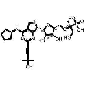 CC(C)(O)C#Cc1nc(NC2CCCC2)c2cnn([C@@H]3O[C@H](CO[C@@](C)(CO)P(=O)(O)O)[C@@H](O)[C@H]3O)c2n1